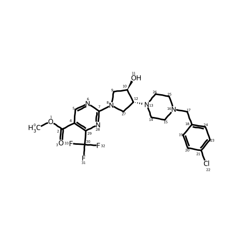 COC(=O)c1cnc(N2C[C@@H](O)[C@H](N3CCN(Cc4ccc(Cl)cc4)CC3)C2)nc1C(F)(F)F